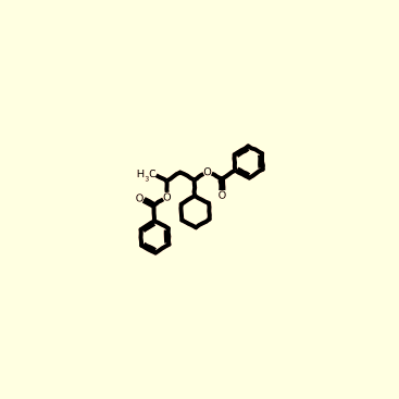 CC(CC(OC(=O)c1ccccc1)C1CCCCC1)OC(=O)c1ccccc1